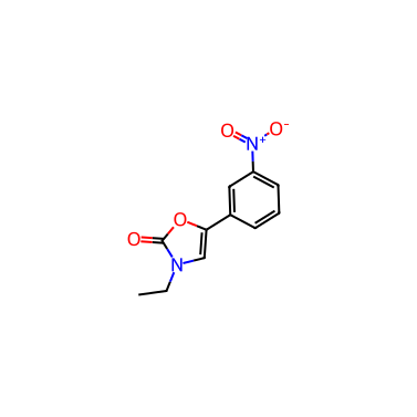 CCn1cc(-c2cccc([N+](=O)[O-])c2)oc1=O